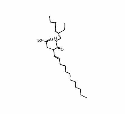 CCCCCCCCCCC=CC(CC(=O)O)C(=O)NCC(CC)CCCC